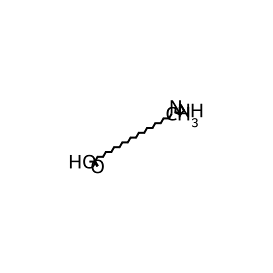 CCCCCCCCCCCCCCCCCCCC(=O)O.c1c[nH]cn1